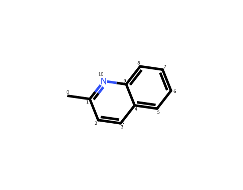 Cc1c[c]c2ccccc2n1